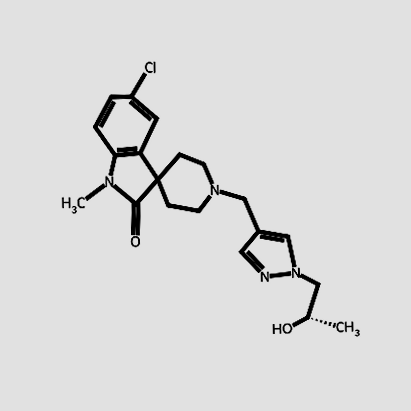 C[C@H](O)Cn1cc(CN2CCC3(CC2)C(=O)N(C)c2ccc(Cl)cc23)cn1